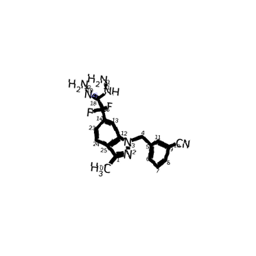 Cc1nn(Cc2cccc(C#N)c2)c2cc(C(F)(F)/C(=N/N)NN)ccc12